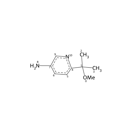 COC(C)(C)c1ccc(N)cn1